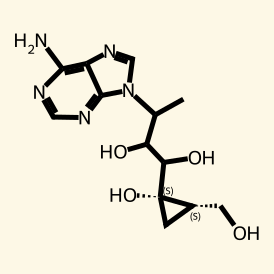 CC(C(O)C(O)[C@]1(O)C[C@H]1CO)n1cnc2c(N)ncnc21